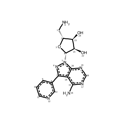 NC[C@H]1O[C@@H](n2nc(-c3cccnc3)c3c(N)ncnc32)[C@H](O)[C@@H]1O